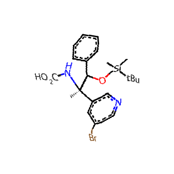 CC(C)(C)[Si](C)(C)OC(c1ccccc1)[C@](C)(NC(=O)O)c1cncc(Br)c1